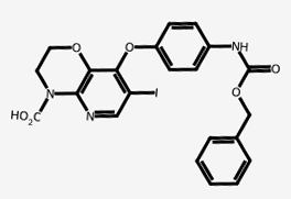 O=C(Nc1ccc(Oc2c(I)cnc3c2OCCN3C(=O)O)cc1)OCc1ccccc1